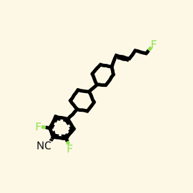 N#Cc1c(F)cc(C2CCC(C3CCC(C=CCCF)CC3)CC2)cc1F